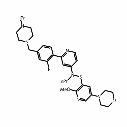 CCCN(Sc1cc(N2CCOCC2)cnc1OC)c1ccnc(-c2ccc(CN3CCN(C(C)C)CC3)cc2F)c1